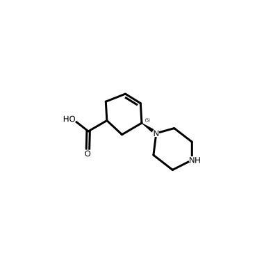 O=C(O)C1CC=C[C@@H](N2CCNCC2)C1